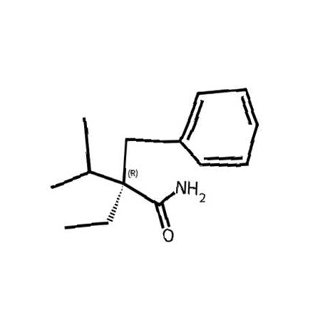 CC[C@](Cc1ccccc1)(C(N)=O)C(C)C